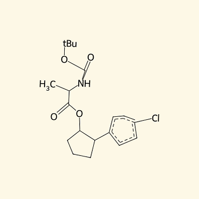 CC(NC(=O)OC(C)(C)C)C(=O)OC1CCCC1c1ccc(Cl)cc1